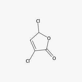 O=C1OC(Cl)C=C1Cl